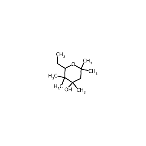 CCC1OC(C)(C)CC(C)(O)C1(C)C